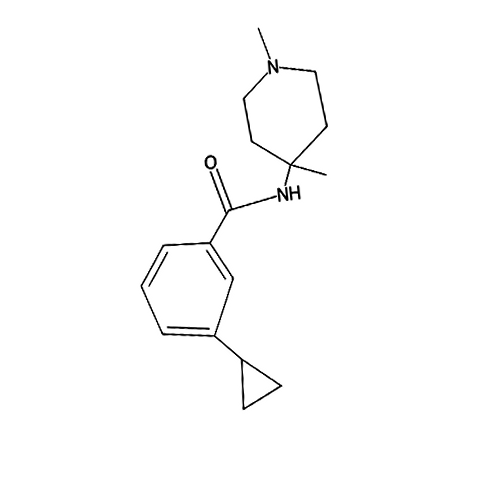 CN1CCC(C)(NC(=O)c2cccc(C3CC3)c2)CC1